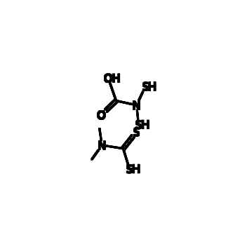 CN(C)C(=S)S.O=C(O)N(S)S